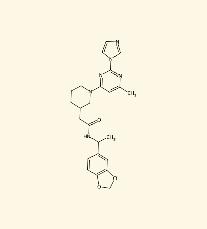 Cc1cc(N2CCCC(CC(=O)NC(C)c3ccc4c(c3)OCO4)C2)nc(-n2ccnc2)n1